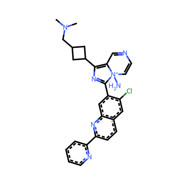 CN(C)CC1CC(C2=C3C=NC=C[N+]3(N)C(c3cc4nc(-c5ccccn5)ccc4cc3Cl)=N2)C1